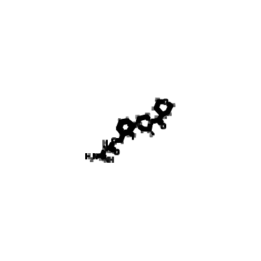 C[C@@H]1CN(c2cccc(COC(=O)NC(=N)N)c2F)CCN1C(=O)C1CCOCC1